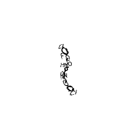 CC1(NC(=O)COc2ccc(Cl)cc2F)C=C(c2nc(COc3ccc(Cl)cc3)no2)C1